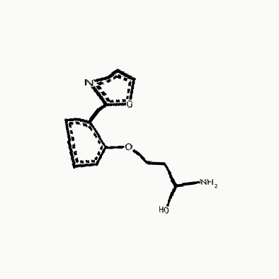 NC(O)CCOc1ccccc1-c1ncco1